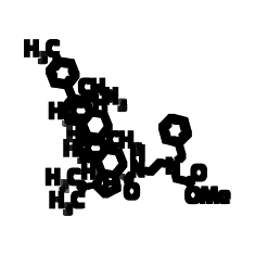 C=C(C)[C@@H]1CC[C@]2(C(=O)NCCN(CC(=O)OC)Cc3ccccc3)CC[C@]3(C)[C@H](CC[C@@H]4[C@@]5(C)CC=C(c6ccc(C)cc6)C(C)(C)[C@@H]5CC[C@]43C)[C@@H]12